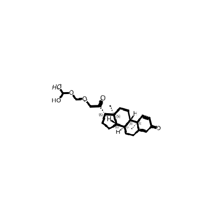 C[C@]12CC[C@H]3[C@@H](CCC4=CC(=O)C=C[C@@]43C)[C@@H]1CC[C@@H]2C(=O)COCOC(O)O